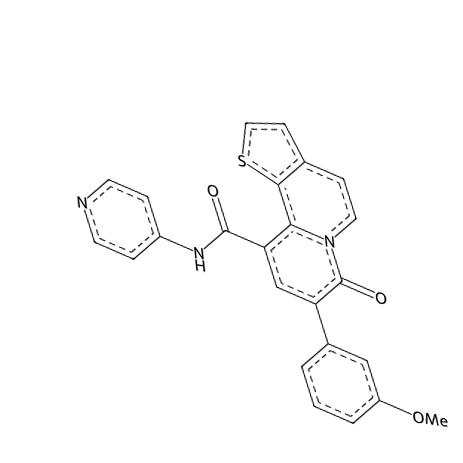 COc1cccc(-c2cc(C(=O)Nc3ccncc3)c3c4sccc4ccn3c2=O)c1